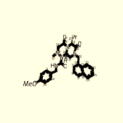 COc1ccc(CNC(=O)N2[C@H]3CN(Cc4cccc5ccccc45)C(=O)[C@H](C(C)C)N3C(=O)CN2C)cc1